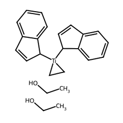 C1=C[CH]([Ti]2([CH]3C=Cc4ccccc43)[CH2][CH2]2)c2ccccc21.CCO.CCO